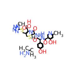 CC(C)N.Cc1cc(O)c(C(=O)NC(C(=O)N[C@@H]2C(=O)N3C(C(=O)O)=C(CSc4nnnn4C)CS[C@H]23)c2ccc(O)cc2)cn1